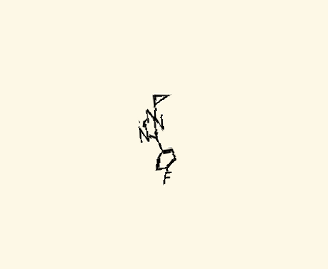 Fc1ccc(-c2n[c]n(C3CC3)n2)cc1